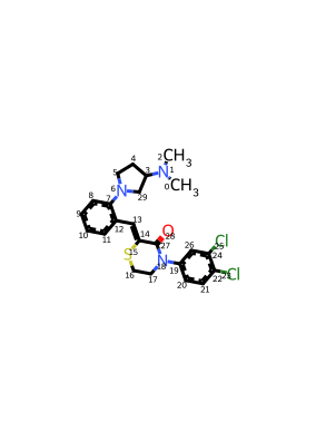 CN(C)C1CCN(c2ccccc2/C=C2\SCCN(c3ccc(Cl)c(Cl)c3)C2=O)C1